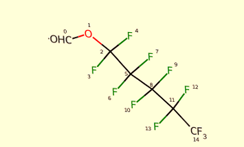 O=[C]OC(F)(F)C(F)(F)C(F)(F)C(F)(F)C(F)(F)F